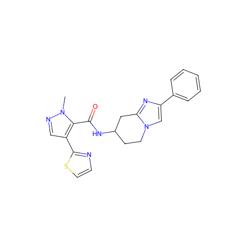 Cn1ncc(-c2nccs2)c1C(=O)NC1CCn2cc(-c3ccccc3)nc2C1